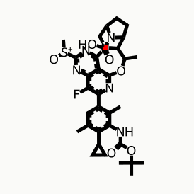 Cc1cc(-c2nc3c4c(nc([S+](C)[O-])nc4c2F)N2CC4CCC(C2C(C)O3)N4C(=O)O)c(C)c(NC(=O)OC(C)(C)C)c1C1CC1